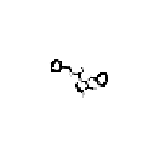 O=C1NC=CN(C(=O)OCc2ccccc2)[C@H]1Cc1ccccc1